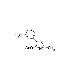 CC(=O)Oc1nc(C)sc1-c1cccc(C(F)(F)F)c1